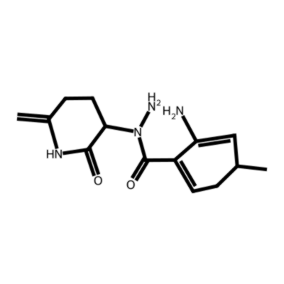 C=C1CCC(N(N)C(=O)C2=CCC(C)C=C2N)C(=O)N1